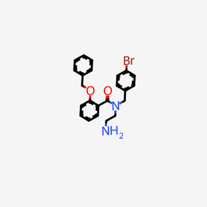 NCCN(Cc1ccc(Br)cc1)C(=O)c1ccccc1OCc1ccccc1